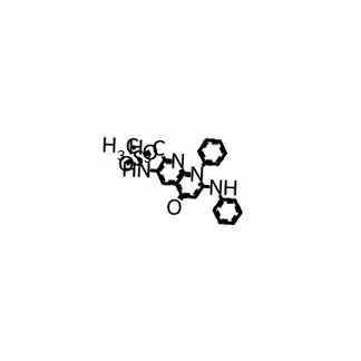 Cc1nc2c(cc1NS(C)(=O)=O)c(=O)cc(Nc1ccccc1)n2-c1ccccc1